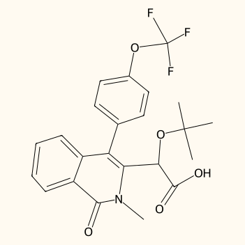 Cn1c(C(OC(C)(C)C)C(=O)O)c(-c2ccc(OC(F)(F)F)cc2)c2ccccc2c1=O